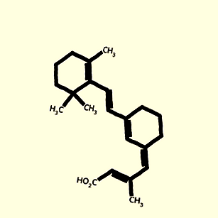 CC(=CC(=O)O)C=C1C=C(C=CC2=C(C)CCCC2(C)C)CCC1